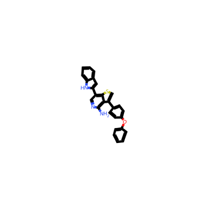 Nc1ncc(-c2cc3ccccc3[nH]2)c2scc(-c3ccc(Oc4ccccc4)cc3)c12